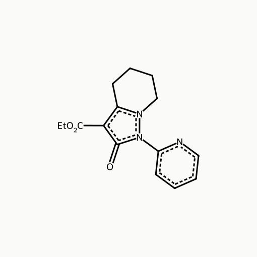 CCOC(=O)c1c2n(n(-c3ccccn3)c1=O)CCCC2